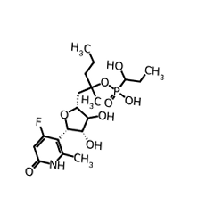 CCCC(C)(C[C@H]1O[C@@H](c2c(F)cc(=O)[nH]c2C)[C@@H](O)C1O)OP(=O)(O)C(O)CC